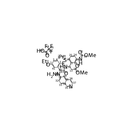 CCOc1ccc(F)c([C@H](C(=O)NC(CC(=O)OC)c2cc(NC(=O)OC)ccc2SC(C)C)N(N)c2ccc3cnccc3c2)c1.O=C(O)C(F)(F)F